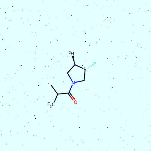 [2H][C@@H]1CN(C(=O)C(C)C(F)(F)F)C[C@H]1F